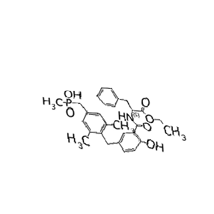 CCOC(=O)[C@H](Cc1ccccc1)NC(=O)c1cc(Cc2c(C)cc(CP(C)(=O)O)cc2C)ccc1O